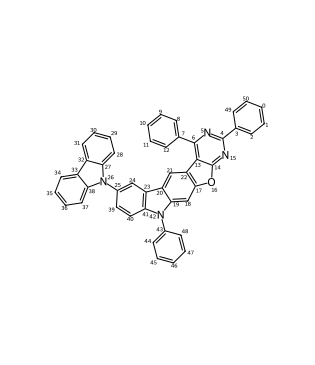 c1ccc(-c2nc(-c3ccccc3)c3c(n2)oc2cc4c(cc23)c2cc(-n3c5ccccc5c5ccccc53)ccc2n4-c2ccccc2)cc1